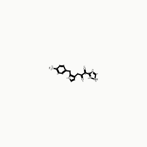 O=C(Cc1ccoc1Cc1ccc(C(F)(F)F)cc1)C(=O)c1nc[nH]n1